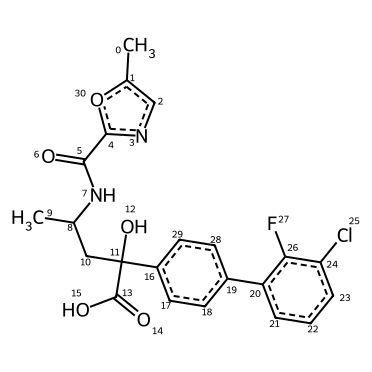 Cc1cnc(C(=O)NC(C)CC(O)(C(=O)O)c2ccc(-c3cccc(Cl)c3F)cc2)o1